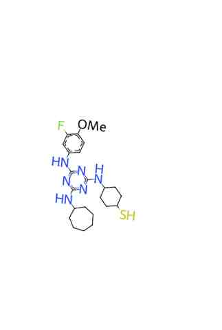 COc1ccc(Nc2nc(NC3CCCCCC3)nc(NC3CCC(S)CC3)n2)cc1F